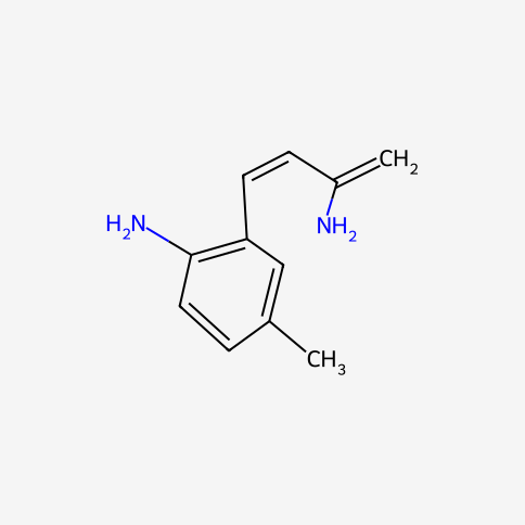 C=C(N)/C=C\c1cc(C)ccc1N